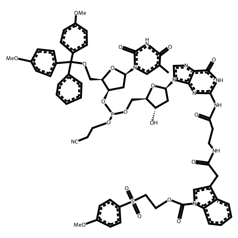 COc1ccc(C(OC[C@H]2O[C@@H](n3cc(C)c(=O)[nH]c3=O)C[C@H]2OP(OCCC#N)OC[C@H]2O[C@@H](n3cnc4c(=O)[nH]c(NC(=O)CCNC(=O)Cc5cn(C(=O)OCCS(=O)(=O)c6ccc(OC)cc6)c6ccccc56)nc43)C[C@@H]2O)(c2ccccc2)c2ccc(OC)cc2)cc1